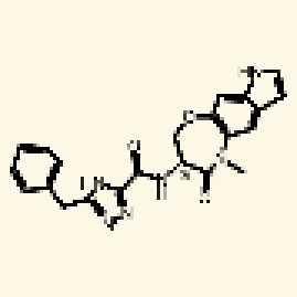 CN1C(=O)[C@@H](NC(=O)c2nnc(Cc3ccccc3)[nH]2)COc2cc3[nH]ccc3cc21